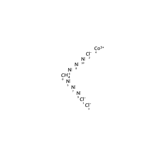 C.[Cl-].[Cl-].[Cl-].[Co+3].[N].[N].[N].[N].[N].[N]